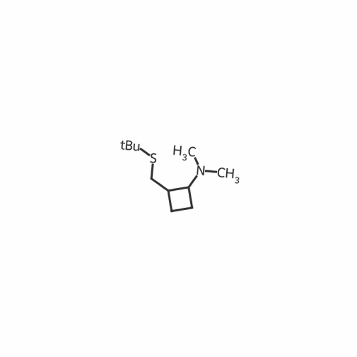 CN(C)C1CCC1CSC(C)(C)C